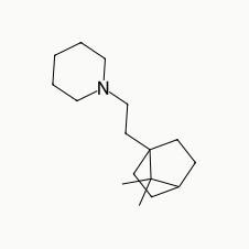 CC1(C)C2CCC1(CCN1CCCCC1)CC2